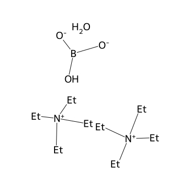 CC[N+](CC)(CC)CC.CC[N+](CC)(CC)CC.O.[O-]B([O-])O